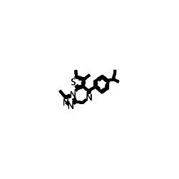 Cc1sc2c(c1C)C(c1ccc(C(C)C)cc1)=NCc1nnc(C)n1-2